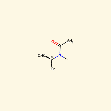 BC(=O)N(C)[C@H](C=O)C(C)C